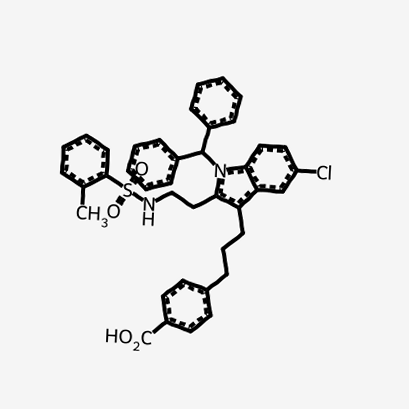 Cc1ccccc1S(=O)(=O)NCCc1c(CCCc2ccc(C(=O)O)cc2)c2cc(Cl)ccc2n1C(c1ccccc1)c1ccccc1